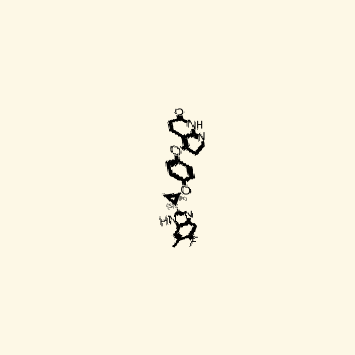 Cc1cc2[nH]c([C@@H]3C[C@H]3Oc3ccc(Oc4ccnc5c4CCC(=O)N5)cc3)nc2cc1F